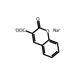 O=C([O-])c1cc2ccccc2oc1=O.[Na+]